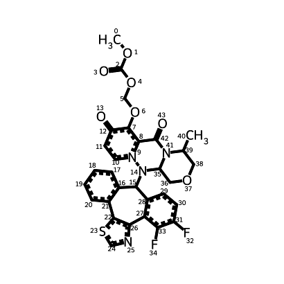 COC(=O)OCOc1c2n(ccc1=O)N(C1c3ccccc3-c3scnc3-c3c1ccc(F)c3F)C1COCC(C)N1C2=O